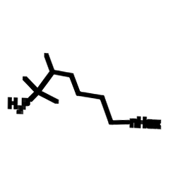 CCCCCCCCCCC(C)C(C)(C)P